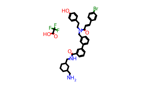 NCC1CCCC(CNC(=O)c2cccc(-c3cccc(CN(CCc4ccc(O)cc4)C(=O)C=Cc4ccc(Br)cc4)c3)c2)C1.O=C(O)C(F)(F)F